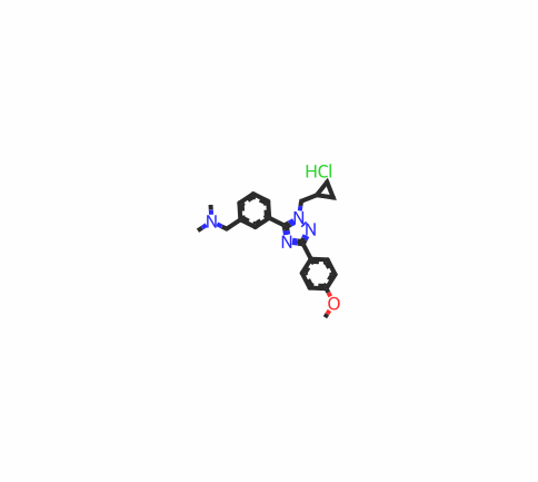 COc1ccc(-c2nc(-c3cccc(CN(C)C)c3)n(CC3CC3)n2)cc1.Cl